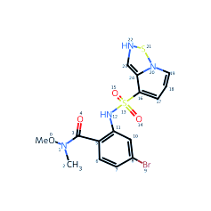 CON(C)C(=O)c1ccc(Br)cc1NS(=O)(=O)C1=CC=CN2SNC=C12